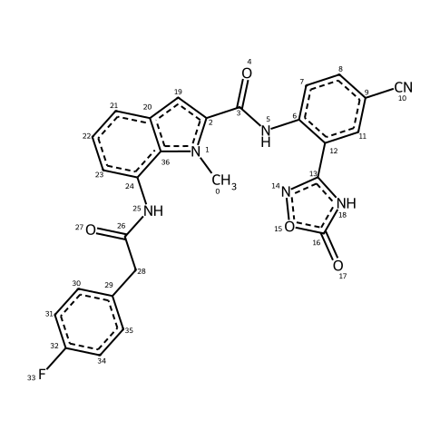 Cn1c(C(=O)Nc2ccc(C#N)cc2-c2noc(=O)[nH]2)cc2cccc(NC(=O)Cc3ccc(F)cc3)c21